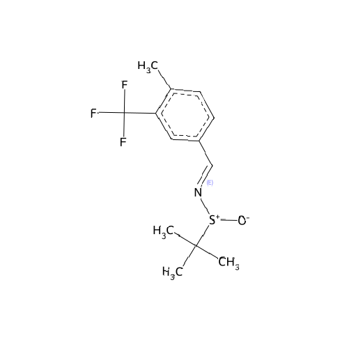 Cc1ccc(/C=N/[S+]([O-])C(C)(C)C)cc1C(F)(F)F